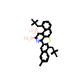 Bc1nc2c3c(cc4cccc(CC(C)(C)C)c4c3c1B)Sc1c-2cc2cc(C)ccc2c1CC(C)(C)C